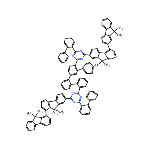 CC1(C)c2ccccc2-c2ccc(-c3cccc4c3-c3ccc(-c5nc(-c6ccccc6-c6ccccc6)nc(-c6ccc(-c7ccccc7-c7ccccc7-c7nc(-c8ccc9c(c8)C(C)(C)c8c-9cccc8-c8cccc9c8C(C)(C)c8ccccc8-9)nc(-c8ccccc8-c8ccccc8)n7)cc6-c6ccccc6)n5)cc3C4(C)C)cc21